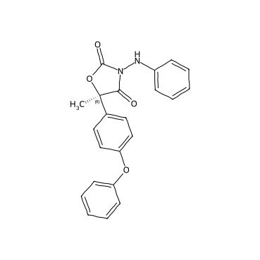 C[C@]1(c2ccc(Oc3ccccc3)cc2)OC(=O)N(Nc2ccccc2)C1=O